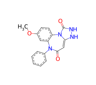 COc1ccc2c(c1)N(c1ccccc1)C(=O)C=C1NNC(=O)N12